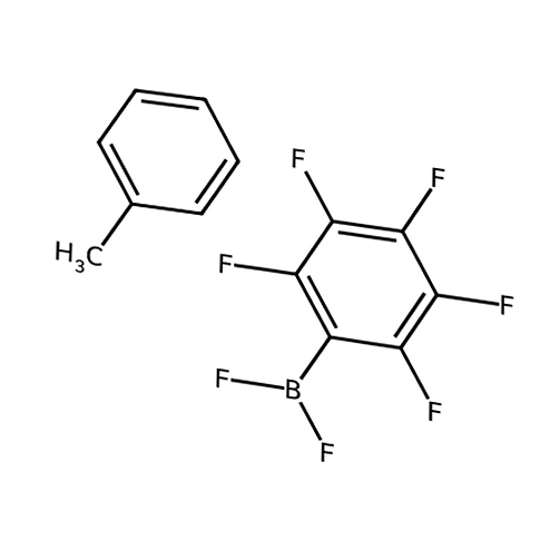 Cc1ccccc1.FB(F)c1c(F)c(F)c(F)c(F)c1F